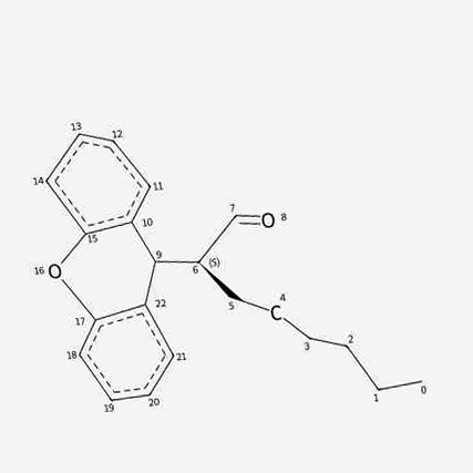 CCCCCC[C@H](C=O)C1c2ccccc2Oc2ccccc21